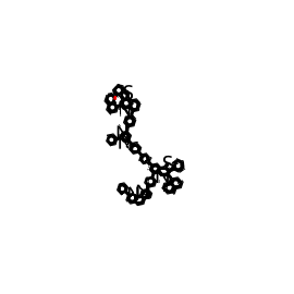 c1ccc(-c2ccc3ccc4ccc(-c5ccc(-c6cc(-c7ccc(-c8ccc(-c9cc(-c%10ccc(-c%11cccc%12c%11nc(-c%11cccc%13ccccc%11%13)c%11c%13ccccc%13sc%12%11)cc%10)nc(-c%10ccccc%10)n9)cc8)cc7)cc7c6nc(-c6cccc8ccccc68)c6c8ccccc8sc76)cc5)nc4c3n2)cc1